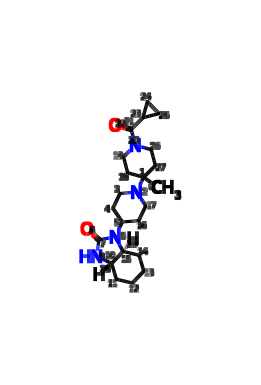 CC1(N2CCC(N3C(=O)N[C@H]4CCCC[C@@H]43)CC2)CCN(C(=O)C2CC2)CC1